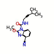 COc1nc2c(C#N)cccc2n1C(=O)NCC#CC(C)C